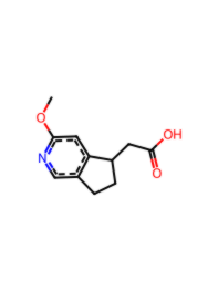 COc1cc2c(cn1)CCC2CC(=O)O